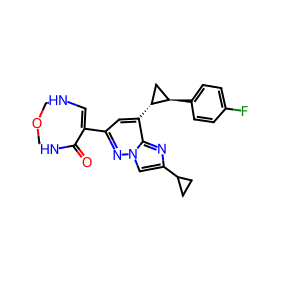 O=C1NCOCN/C=C\1c1cc([C@@H]2C[C@H]2c2ccc(F)cc2)c2nc(C3CC3)cn2n1